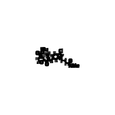 CNC(=O)CCCn1cc(Cl)c2ccc(CN(C(=O)C3CN(C(=O)OC(C)(C)C)CCO3)C3CC3)cc21